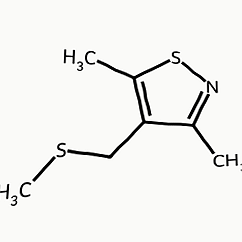 CSCc1c(C)nsc1C